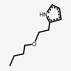 CCCCOCCc1ccc[nH]1